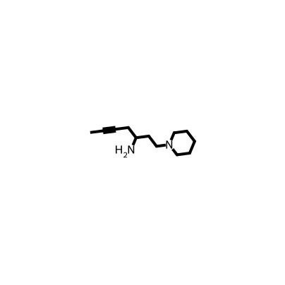 CC#CCC(N)CCN1CCCCC1